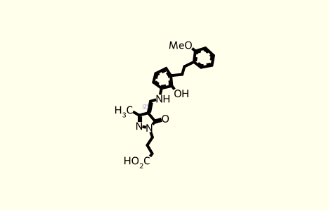 COc1ccccc1CCc1cccc(N/C=C2\C(=O)N(CCCC(=O)O)N=C2C)c1O